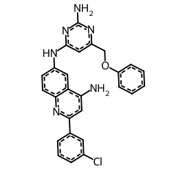 Nc1nc(COc2ccccc2)cc(Nc2ccc3nc(-c4cccc(Cl)c4)cc(N)c3c2)n1